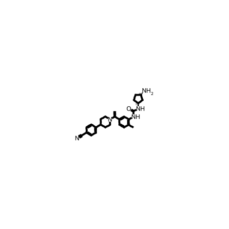 C=C(c1ccc(C)c(NC(=O)N[C@H]2CC[C@H](N)C2)c1)N1CCC(c2ccc(C#N)cc2)CC1